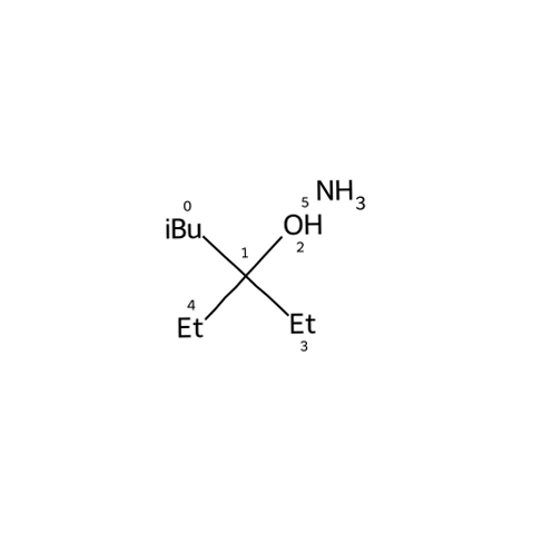 CCC(C)C(O)(CC)CC.N